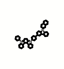 c1ccc(-n2c3ccccc3c3c4c5ccccc5n(-c5ccc(-c6ccc7c(c6)c6ccccc6n7-c6ccc7ccccc7c6)cc5)c4ccc32)cc1